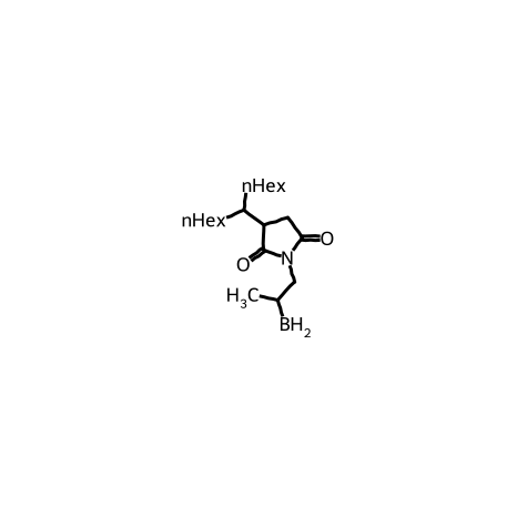 BC(C)CN1C(=O)CC(C(CCCCCC)CCCCCC)C1=O